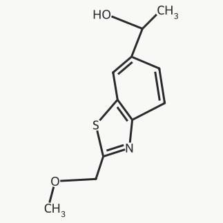 COCc1nc2ccc(C(C)O)cc2s1